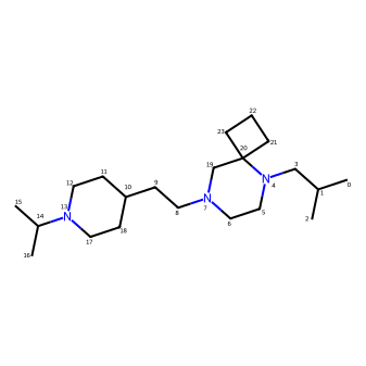 CC(C)CN1CCN(CCC2CCN(C(C)C)CC2)CC12CCC2